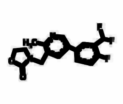 Cc1ncc(-c2ccc(F)c(C(F)F)c2)cc1CN1CCOC1=O